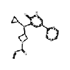 C=CC(=O)N1CC(N(c2cc(-c3cnccn3)c[nH]c2=O)C2CC2)C1